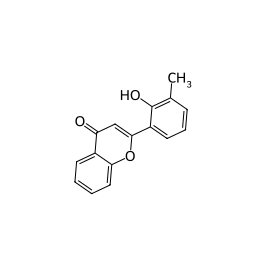 Cc1cccc(-c2cc(=O)c3ccccc3o2)c1O